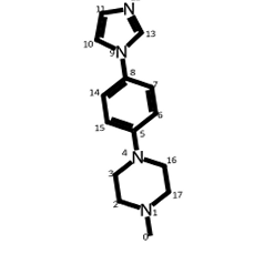 CN1CCN(c2ccc(-n3ccnc3)cc2)CC1